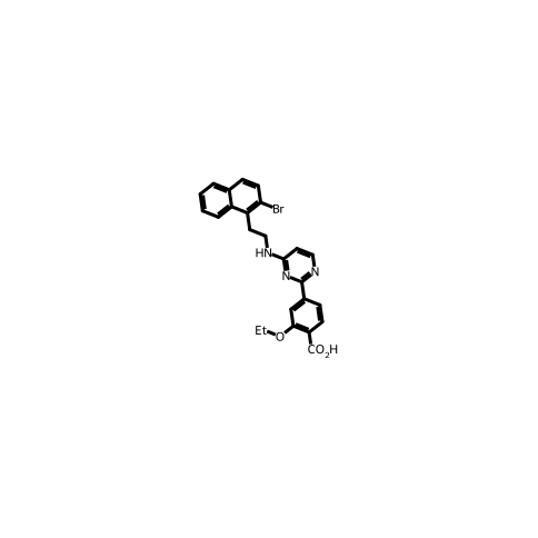 CCOc1cc(-c2nccc(NCCc3c(Br)ccc4ccccc34)n2)ccc1C(=O)O